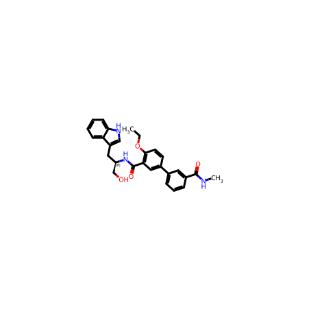 CCOc1ccc(-c2cccc(C(=O)NC)c2)cc1C(=O)N[C@@H](CO)Cc1c[nH]c2ccccc12